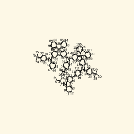 CCCCC(CC)Cn1c2ccccc2c2cc(-c3ccc(N(c4ccc(C(C)(C)C)cc4)c4ccc(C5(c6ccc(N(c7ccc(C(C)(C)C)cc7)c7ccc(C8(c9ccc(N(c%10ccccc%10)c%10ccc(C(C)(C)C)cc%10)cc9)c9ccccc9-c9ccccc98)cc7)cc6)c6ccccc6-c6ccccc65)cc4)cc3)ccc21